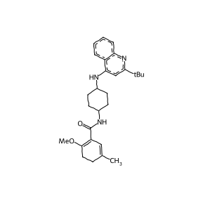 COC1=C(C(=O)NC2CCC(Nc3cc(C(C)(C)C)nc4ccccc34)CC2)C=C(C)CC1